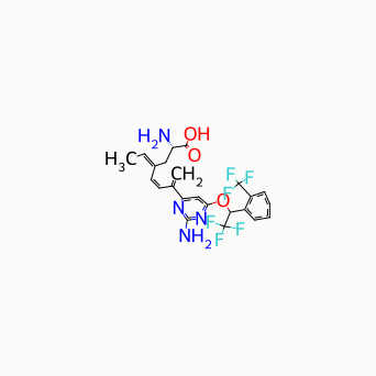 C=C(/C=C\C(=C/C)C[C@H](N)C(=O)O)c1cc(OC(c2ccccc2C(F)(F)F)C(F)(F)F)nc(N)n1